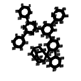 c1ccc(-c2nc(-c3ccccc3)nc(-c3cc(-c4ccc5c(c4)C4(c6ccccc6-5)C5CC6CC(C5)CC4C6)cc(-c4ccccn4)c3)n2)cc1